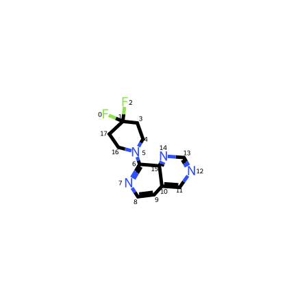 FC1(F)CCN(c2nccc3cncnc23)CC1